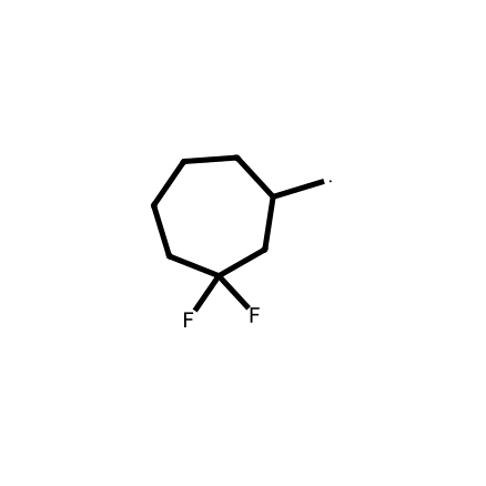 [CH2]C1CCCCC(F)(F)C1